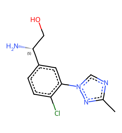 Cc1ncn(-c2cc([C@H](N)CO)ccc2Cl)n1